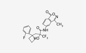 Cc1noc(=O)c2ccc(NC(=O)C(O)(CC3(c4ccccc4F)CCC3)C(F)(F)F)cc12